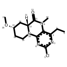 CCc1nc(Cl)nc2c1N(C)C(=O)[C@H]1C[C@@H](OC)CCN21